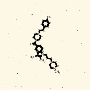 Cc1c(C)n(CCCN2CCN(C)CC2)c2ccc(C(=O)N3CCN(CCc4ccc(F)cc4)CC3)cc12